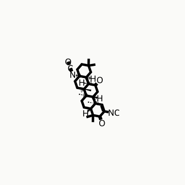 [C-]#[N+]C1=C[C@]2(C)[C@H]3CC(=O)[C@@H]4[C@@H]5CC(C)(C)CC[C@]5(N=C=O)CC[C@@]4(C)[C@]3(C)CC[C@H]2C(C)(C)C1=O